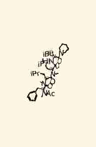 CC[C@H](C)[C@H](NC(=O)[C@H](CC(C)C)N(C)C(=O)[C@H](CC(C)C)N(C)C(=O)[C@H](Cc1ccccc1)N(C)C(C)=O)C(=O)N1CCCCC1